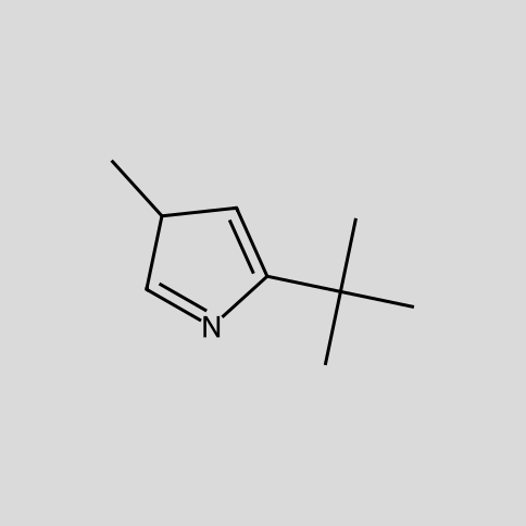 CC1C=NC(C(C)(C)C)=C1